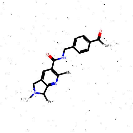 COC(=O)c1ccc(CNC(=O)c2cc3c(nc2C(C)(C)C)C(C(C)C)N(C(=O)O)C3)cc1